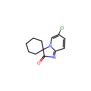 O=C1N=C2C=CC(Cl)=CN2C12CCCCC2